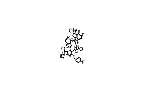 COc1c(F)ccc2c1CC[C@H]2Nc1nccc2sc(-c3c4c(nc(CCc5ccc(F)cc5)c3-c3n[nH]c(=O)o3)C35CC(CN3C4=O)C5)cc12